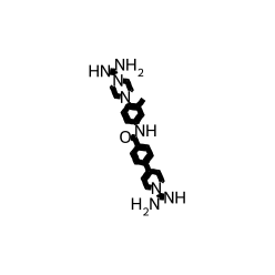 Cc1cc(NC(=O)c2ccc(C3=CCN(C(=N)N)CC3)cc2)ccc1N1CCN(C(=N)N)CC1